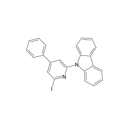 Ic1cc(-c2ccccc2)cc(-n2c3ccccc3c3ccccc32)n1